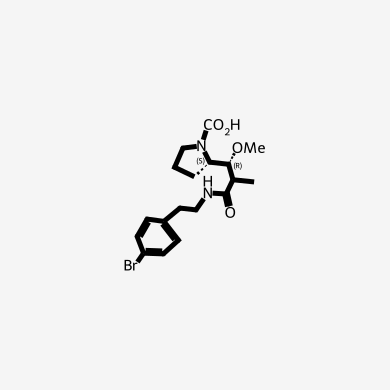 CO[C@H](C(C)C(=O)NCCc1ccc(Br)cc1)[C@@H]1CCCN1C(=O)O